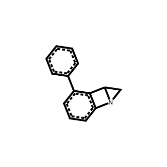 c1ccc(-c2cccc3c2C2CN32)cc1